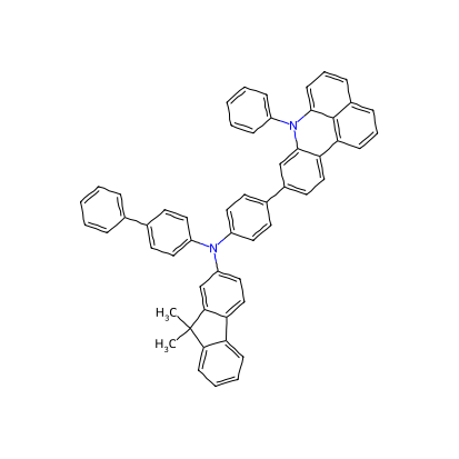 CC1(C)c2ccccc2-c2ccc(N(c3ccc(-c4ccccc4)cc3)c3ccc(-c4ccc5c(c4)N(c4ccccc4)c4cccc6cccc-5c46)cc3)cc21